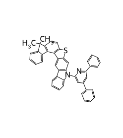 CC1(C)c2ccccc2-c2c1ccc1sc3cc4c(cc3c21)c1ccccc1n4-c1cc(-c2ccccc2)cc(-c2ccccc2)n1